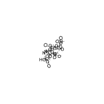 CO[C@@H]1OC(CO[Si](c2ccccc2)(c2ccccc2)C(C)(C)C)[C@@H](O[C@@H]2OC(C)[C@@H](O[C@@H]3OC(CO[Si](c4ccccc4)(c4ccccc4)C(C)(C)C)[C@@H](O[C@@H]4OC(C)[C@@H](O)[C@@H](OCc5ccccc5)C4C)[C@H](C)C3N=[N+]=[N-])[C@@H](OCc3ccccc3)C2C)[C@H](C)C1C